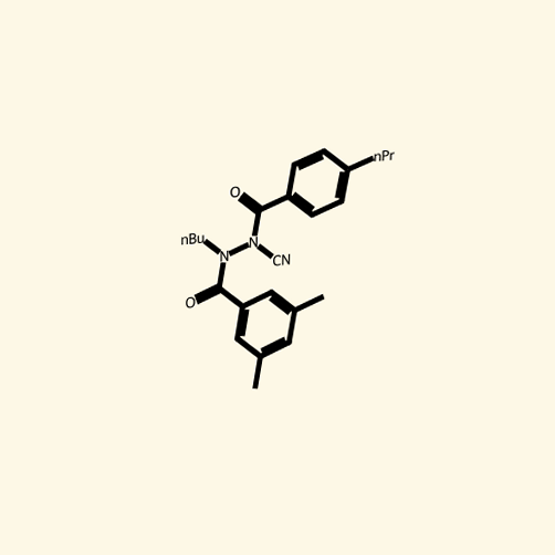 CCCCN(C(=O)c1cc(C)cc(C)c1)N(C#N)C(=O)c1ccc(CCC)cc1